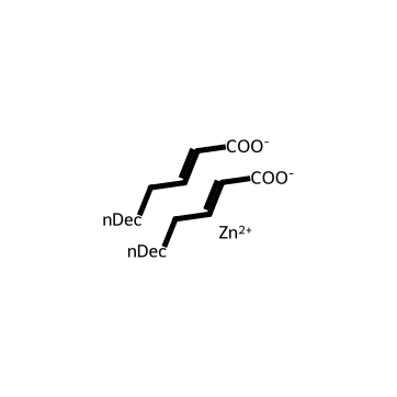 CCCCCCCCCCCC=CC(=O)[O-].CCCCCCCCCCCC=CC(=O)[O-].[Zn+2]